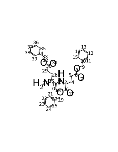 C=C(NC(CCC(=O)OCc1ccccc1)C(=O)OCc1ccccc1)C(N)CCC(=O)OCc1ccccc1